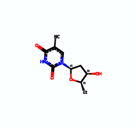 [C-]#[N+]c1cn([C@H]2C[C@@H](O)[C@@H](CC)O2)c(=O)[nH]c1=O